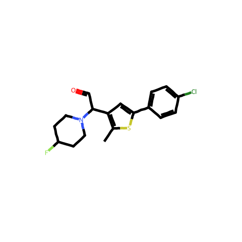 Cc1sc(-c2ccc(Cl)cc2)cc1C(C=O)N1CCC(F)CC1